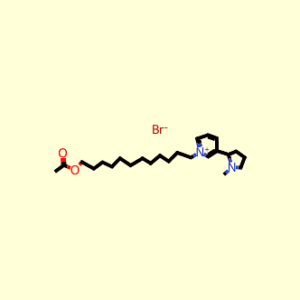 CC(=O)OCCCCCCCCCCCC[n+]1cccc(C2CCCN2C)c1.[Br-]